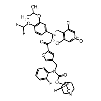 CC(C)Oc1cc([C@H](Cc2c(Cl)c[n+]([O-])cc2Cl)OC(=O)c2cc(CN(C(=O)O[C@H]3CN4CCC3CC4)c3ccccc3F)cs2)ccc1OC(F)F